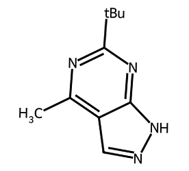 Cc1nc(C(C)(C)C)nc2[nH]ncc12